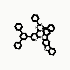 c1ccc(-c2cc(-c3ccccc3)cc(-c3cnc(-n4c5ccccc5c5cc6c(cc54)sc4ccccc46)c(-c4nc(-c5ccccc5)nc(-c5ccccc5)n4)c3)c2)cc1